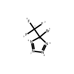 FC(F)(F)C1(Br)N=NN=N1